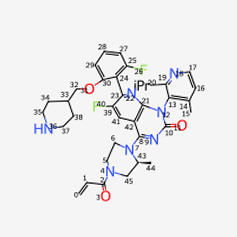 C=CC(=O)N1CCN(c2nc(=O)n(-c3c(C)ccnc3C(C)C)c3nc(-c4c(F)cccc4OCC4CCNCC4)c(F)cc23)[C@@H](C)C1